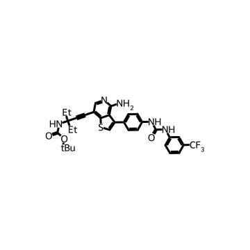 CCC(C#Cc1cnc(N)c2c(-c3ccc(NC(=O)Nc4cccc(C(F)(F)F)c4)cc3)csc12)(CC)NC(=O)OC(C)(C)C